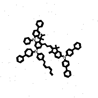 C=C/C=C\C=C/Cc1ccc(N(C2=CC=C(c3ccccc3)C=CC2)c2cc(CC/C=C3\C(=C)c4ccc(N(c5ccc(-c6ccccc6)cc5)c5ccc(-c6ccccc6)cc5)cc4C3(C)C)c(C(C)(C)C(C)C)c(N(c3ccccc3)c3ccc(-c4ccccc4)cc3)c2)cc1